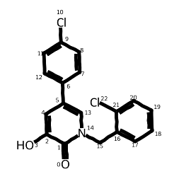 O=c1c(O)cc(-c2ccc(Cl)cc2)cn1Cc1ccccc1Cl